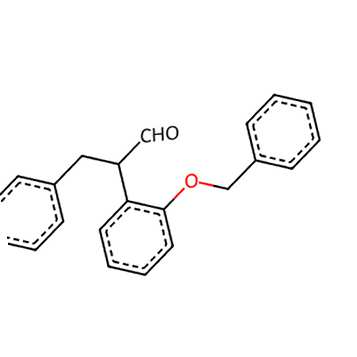 O=CC(Cc1ccccc1)c1ccccc1OCc1ccccc1